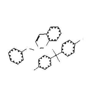 C1=Cc2ccccc2ON1.CC(C)(c1ccc(O)cc1)c1ccc(O)cc1.CNc1ccccc1